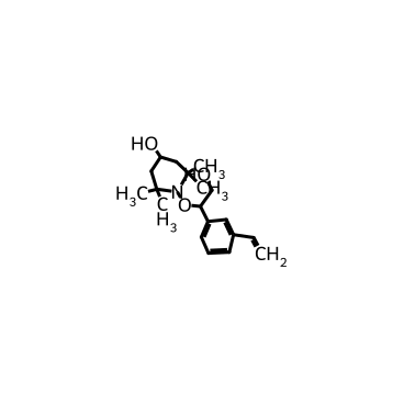 C=Cc1cccc(C(CO)ON2C(C)(C)CC(O)CC2(C)C)c1